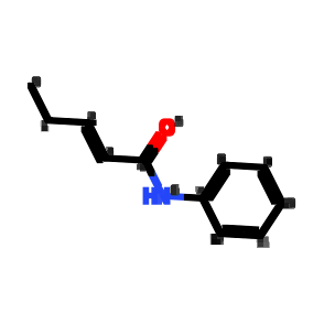 CC[C]=CC(=O)Nc1ccccc1